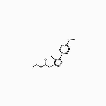 CCOC(=O)Cc1ccc(-c2ccc(SC)cc2)n1C